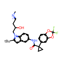 C/N=C/CC(O)Cn1c(C(C)(C)C)cc2cc(NC(=O)C3(c4ccc5c(c4)OC(F)(F)O5)CC3)ccc21